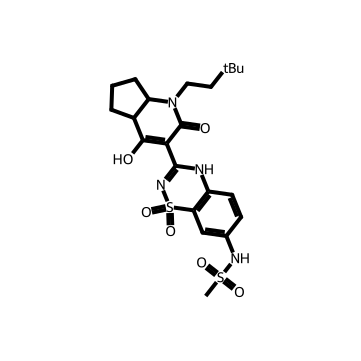 CC(C)(C)CCN1C(=O)C(C2=NS(=O)(=O)c3cc(NS(C)(=O)=O)ccc3N2)=C(O)C2CCCC21